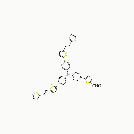 O=Cc1ccc(-c2ccc(N(c3ccc(-c4ccc(/C=C/c5cccs5)s4)cc3)c3ccc(-c4ccc(CCc5cccs5)s4)cc3)cc2)s1